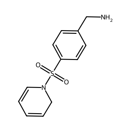 NCc1ccc(S(=O)(=O)N2C=CC=CC2)cc1